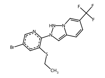 CCSc1cc(Br)cnc1N1C=C2C=CC(C(F)(F)F)=CN2N1